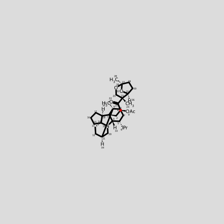 CC(=O)O[C@@H](C[C@]12[C@@H]3[C@@H](C(C)C)CC[C@@]1(C)[C@@H]1CC[C@@]4(CCC[C@H]42)N3C1)C(=O)[C@]1(C)CO[C@@]2(C)CC[C@@H]1O2